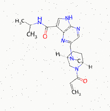 C=CC(=O)N1C[C@H]2CC[C@@H]1CN2c1cnc2[nH]cc(C(=O)NC(C)C)c2n1